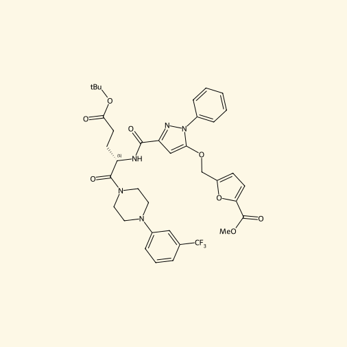 COC(=O)c1ccc(COc2cc(C(=O)N[C@@H](CCC(=O)OC(C)(C)C)C(=O)N3CCN(c4cccc(C(F)(F)F)c4)CC3)nn2-c2ccccc2)o1